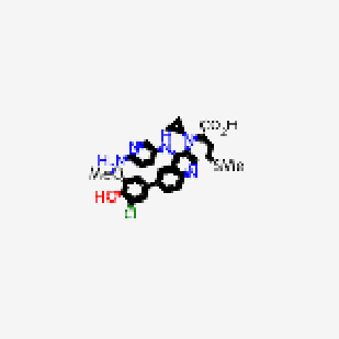 COc1cc(-c2ccc3ncc(N(C4CC4)[C@@H](CCSC)C(=O)O)c(Nc4ccc(N)nc4)c3c2)cc(Cl)c1O